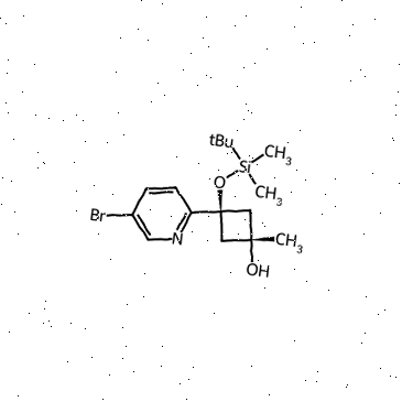 CC(C)(C)[Si](C)(C)O[C@]1(c2ccc(Br)cn2)C[C@@](C)(O)C1